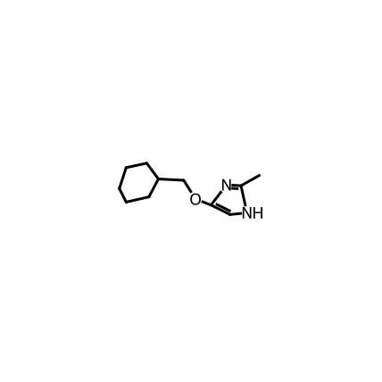 Cc1nc(OCC2CCCCC2)c[nH]1